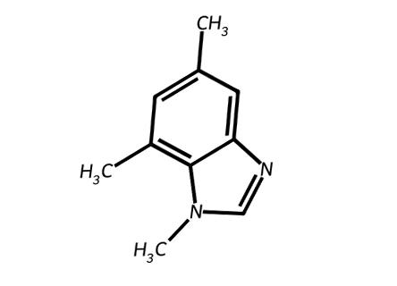 Cc1cc(C)c2c(c1)ncn2C